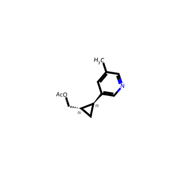 CC(=O)OC[C@H]1C[C@@H]1c1cncc(C)c1